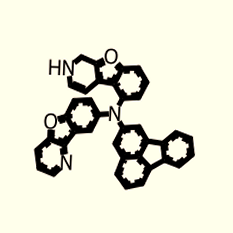 C1=Cc2c(oc3cccc(N(c4cc5c6c(cccc6c4)-c4ccccc4-5)c4ccc5oc6cccnc6c5c4)c23)CN1